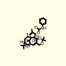 CC1=C[C@]23C(=O)[C@@H](C=C4COC(C)(C)O[C@H]4[C@]2(O)[C@H]1OC(=O)Nc1ccccc1)[C@H]1[C@@H](C[C@H]3C)C1(C)C